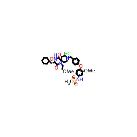 COCCN1C(=O)[C@@H](CC2(O)CCCCC2)NC(=O)C12CCN(Cc1ccc(Oc3ccc(NS(C)(=O)=O)cc3OC)cc1)CC2.Cl